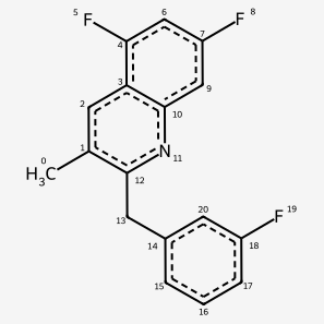 Cc1cc2c(F)cc(F)cc2nc1Cc1cccc(F)c1